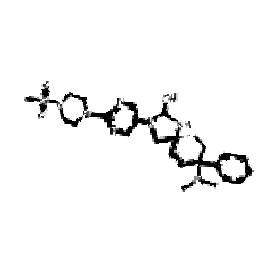 CN(C)[C@]1(c2ccccc2)CC[C@]2(CC1)CN(c1cnc(N3CCN(S(C)(=O)=O)CC3)nc1)C(O)N2